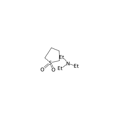 CCN(CC)CC.O=S1(=O)CCCC1